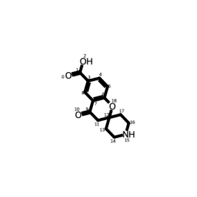 O=C(O)c1ccc2c(c1)C(=O)CC1(CCNCC1)O2